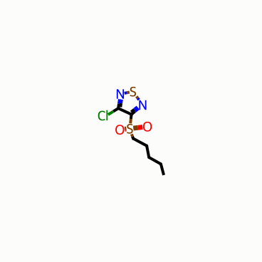 CCCCCS(=O)(=O)c1nsnc1Cl